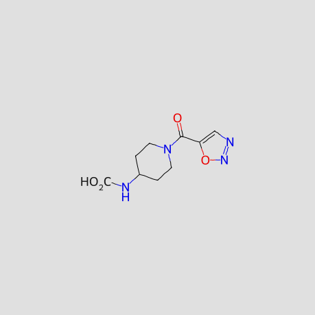 O=C(O)NC1CCN(C(=O)c2cnno2)CC1